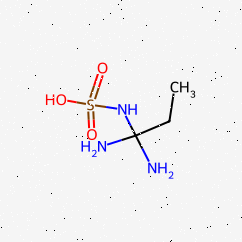 CCC(N)(N)NS(=O)(=O)O